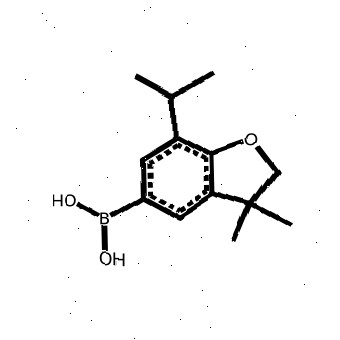 CC(C)c1cc(B(O)O)cc2c1OCC2(C)C